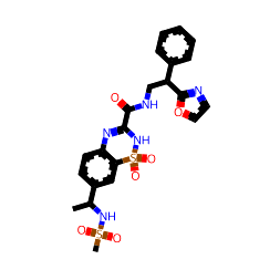 CC(NS(C)(=O)=O)c1ccc2c(c1)S(=O)(=O)NC(C(=O)NCC(c1ccccc1)c1ncco1)=N2